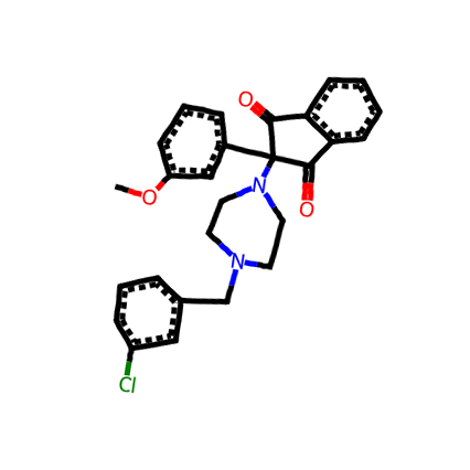 COc1cccc(C2(N3CCN(Cc4cccc(Cl)c4)CC3)C(=O)c3ccccc3C2=O)c1